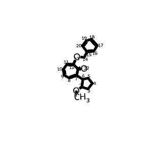 COC1CCCC1c1ccccc(OCc2ccccc2)c1=O